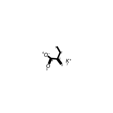 C=C(CC)C(=O)[O-].[K+]